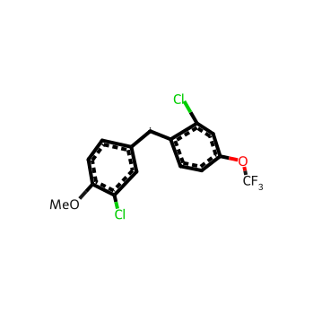 COc1ccc([CH]c2ccc(OC(F)(F)F)cc2Cl)cc1Cl